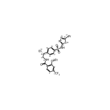 CCOc1cc(C(F)(F)F)ccc1C(=O)NC[C@H](CC)c1ccc(S(=O)(=O)Nc2nnc(C(C)C)s2)cc1